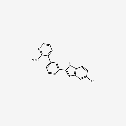 COc1ncccc1-c1cccc(-c2nc3cc(C(C)=O)ccc3[nH]2)c1